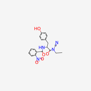 CCN(C#N)C(=O)C(Cc1ccc(O)cc1)NC(=O)c1ccccc1[N+](=O)[O-]